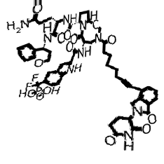 NC(=O)CC[C@H](NC(=O)[C@@H]1CC[C@@H]2CCN(C(=O)CCCCCC#Cc3cccc4c3CN(C3CCC(=O)NC3=O)C4=O)C[C@H](NC(=O)c3cc4cc(C(F)(F)P(=O)(O)O)ccc4[nH]3)C(=O)N21)C(=O)N[C@@H]1CCOc2ccccc21